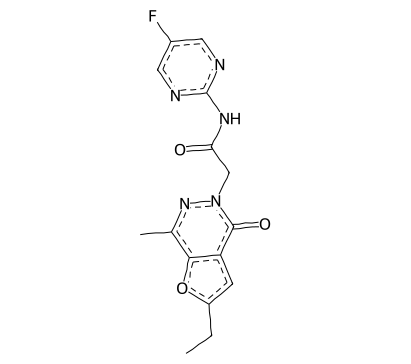 CCc1cc2c(=O)n(CC(=O)Nc3ncc(F)cn3)nc(C)c2o1